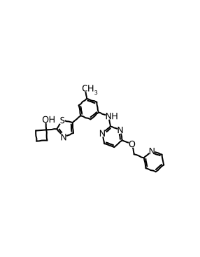 Cc1cc(Nc2nccc(OCc3ccccn3)n2)cc(-c2cnc(C3(O)CCC3)s2)c1